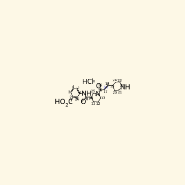 Cl.O=C(O)c1cccc(NC(=O)[C@@H]2CCCN(C(=O)/C=C/C3CCNCC3)C2)c1